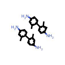 Cc1cc(N)ccc1-c1ccc(N)cc1C.Cc1cc(N)ccc1-c1ccc(N)cc1C